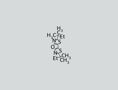 CCC(C)(C)c1nc2oc3nc(C(C)(C)CC)sc3c2s1